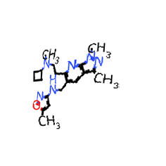 Cc1cc(NCc2cc3c(C)nn(C)c3nc2CCN(C)C2CCC2)no1